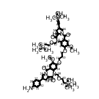 COc1cc2c(cc1OCCCOc1cc3c(cc1OC)C(=O)N1C=C(c4ccc(N)cc4)C[C@H]1C(=O)N3COCC[Si](C)(C)C)N(COCC[Si](C)(C)C)C(=O)[C@@H]1CC(C#C[Si](C)(C)C)=CN1C2=O